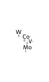 [Co].[Mo].[V].[W]